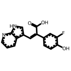 O=C(O)C(=Cc1c[nH]c2ncccc12)c1ccc(O)c(F)c1